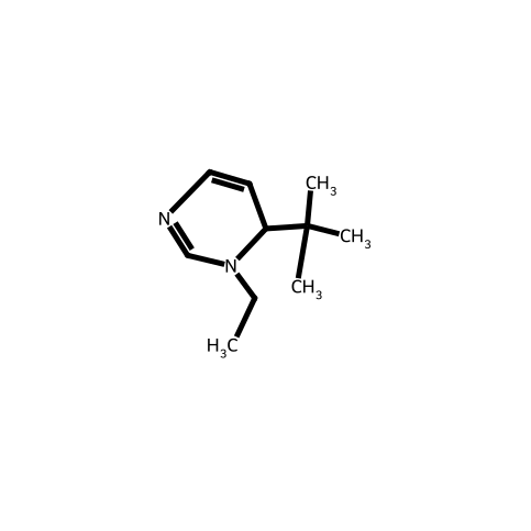 CCN1C=NC=CC1C(C)(C)C